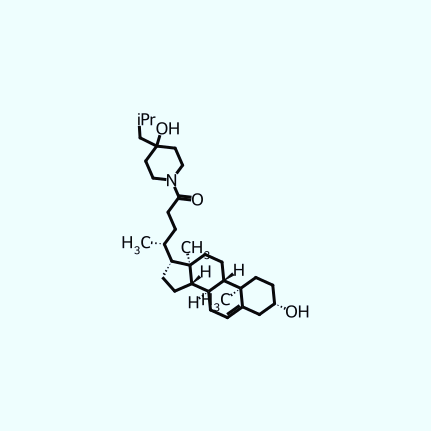 CC(C)CC1(O)CCN(C(=O)CC[C@@H](C)[C@H]2CC[C@H]3[C@@H]4CC=C5C[C@@H](O)CC[C@]5(C)[C@H]4CC[C@]23C)CC1